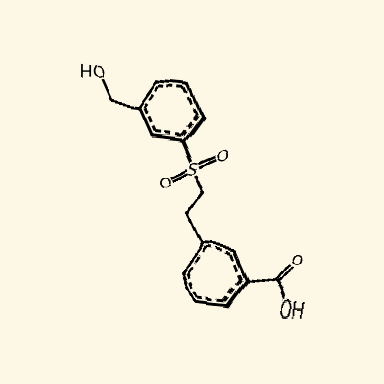 O=C(O)c1cccc(CCS(=O)(=O)c2cccc(CO)c2)c1